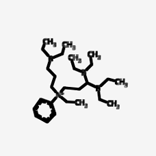 CCB(CC)CCC[N+](CC)(CCC(B(CC)CC)B(CC)CC)c1ccccc1